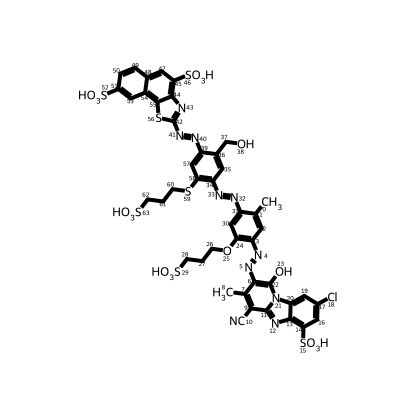 Cc1cc(N=Nc2c(C)c(C#N)c3nc4c(S(=O)(=O)O)cc(Cl)cc4n3c2O)c(OCCCS(=O)(=O)O)cc1N=Nc1cc(CO)c(N=Nc2nc3c(S(=O)(=O)O)cc4ccc(S(=O)(=O)O)cc4c3s2)cc1SCCCS(=O)(=O)O